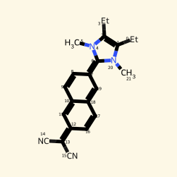 CCC1=C(CC)N(C)C(=c2ccc3cc(=C(C#N)C#N)ccc3c2)N1C